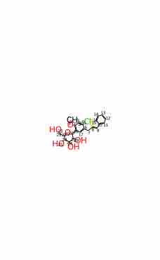 COc1cc(Cl)c(Cc2cc3ccccc3s2)cc1[C@@H]1O[C@H](CO)[C@@H](O)[C@H](O)[C@H]1O